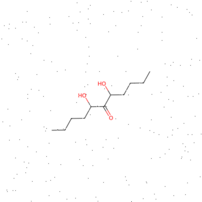 CCCCC(O)C(=O)C(O)CCCC